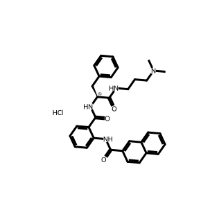 CN(C)CCCNC(=O)[C@H](Cc1ccccc1)NC(=O)c1ccccc1NC(=O)c1ccc2ccccc2c1.Cl